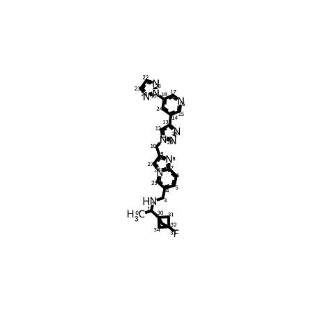 CC(NCc1ccc2nc(Cn3cc(-c4cncc(-n5nccn5)c4)nn3)cn2c1)C12CC(F)(C1)C2